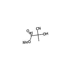 CO[PH](=O)C(C)(O)C#N